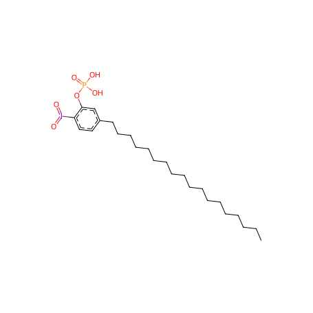 CCCCCCCCCCCCCCCCCCc1ccc(I(=O)=O)c(OP(=O)(O)O)c1